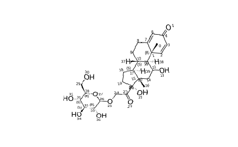 C[C@]12C=CC(=O)C=C1CC[C@@H]1[C@@H]2C(O)C[C@@]2(C)[C@H]1CC[C@]2(O)C(=O)COC1O[C@H](CO)[C@@H](O)[C@H](O)[C@H]1O